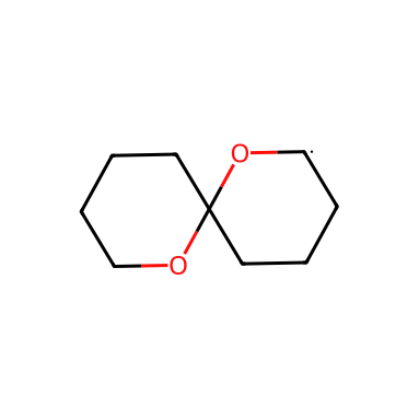 [CH]1CCCC2(CCCCO2)O1